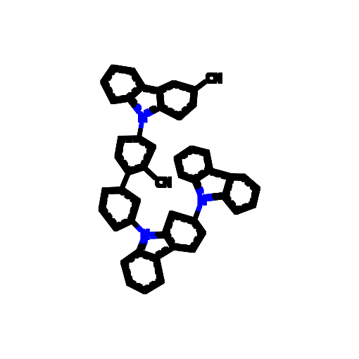 N#Cc1ccc2c(c1)c1ccccc1n2-c1ccc(-c2cccc(-n3c4ccccc4c4ccc(-n5c6ccccc6c6ccccc65)cc43)c2)c(C#N)c1